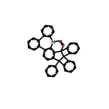 c1ccc(C23c4ccccc4C24c2ccccc2C42c4ccccc4N4c5ccccc5-c5ccccc5-c5ccc3c2c54)cc1